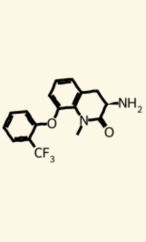 CN1C(=O)[C@H](N)Cc2cccc(Oc3ccccc3C(F)(F)F)c21